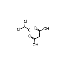 ClC(Cl)Cl.O=C(O)CC(=O)O